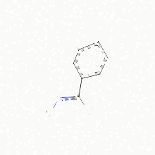 CCC/N=C(\SC)c1c[c]ccc1